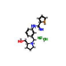 Cl.Cl.N=C(Nc1cccc(CN2CCC[C@H]2CO)c1)c1cccs1